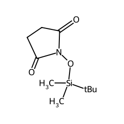 CC(C)(C)[Si](C)(C)ON1C(=O)CCC1=O